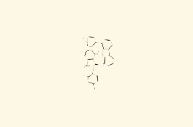 Cc1cc(C)c(N2C(=O)c3cccc(-n4c5ccccc5c5cccc(-c6ccncc6)c54)c3C2=O)c(C)c1